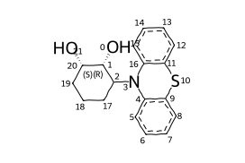 O[C@@H]1C(N2c3ccccc3Sc3ccccc32)CCC[C@@H]1O